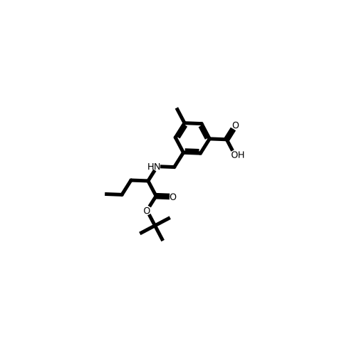 CCCC(NCc1cc(C)cc(C(=O)O)c1)C(=O)OC(C)(C)C